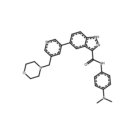 CN(C)c1ccc(NC(=O)c2n[nH]c3ccc(-c4cncc(CN5CCOCC5)c4)cc23)cc1